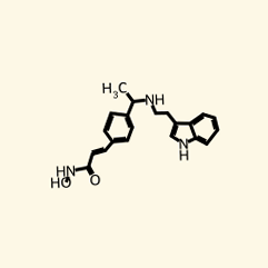 CC(NCCc1c[nH]c2ccccc12)c1ccc(/C=C/C(=O)NO)cc1